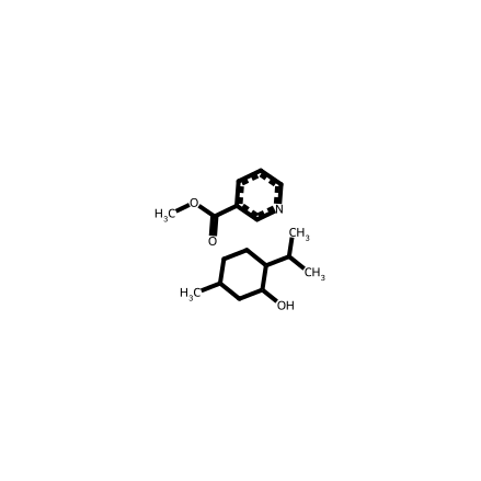 CC1CCC(C(C)C)C(O)C1.COC(=O)c1cccnc1